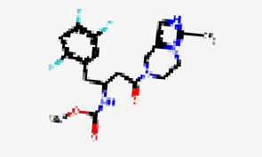 CC(C)(C)OC(=O)NC(CC(=O)N1CCn2c(cnc2C(F)(F)F)C1)Cc1cc(F)c(F)cc1F